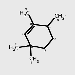 [CH2]C1CCC(C)(C)C=C1C